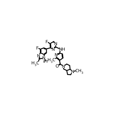 Cc1nc(Nc2ncc(F)c(-c3cc(F)c4nc(C)n(C(C)C)c4c3)n2)ccc1C(=O)N1CCC2C(CCN2C)C1